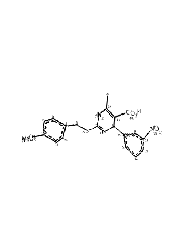 COc1ccc(CSC2=NC(c3cccc([N+](=O)[O-])c3)C(C(=O)O)=C(C)N2)cc1